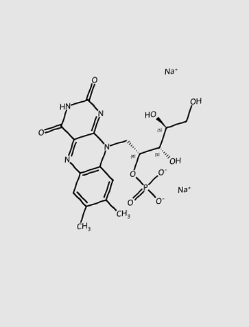 Cc1cc2nc3c(=O)[nH]c(=O)nc-3n(C[C@@H](OP(=O)([O-])[O-])[C@@H](O)[C@@H](O)CO)c2cc1C.[Na+].[Na+]